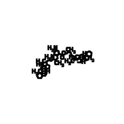 CC(CCC[C@@H](C)[C@H]1CC[C@H]2[C@@H]3CCC4CCCC[C@]4(C)[C@H]3CC[C@]12C)COC(=O)c1cc(N)cc(N)c1CC(C)CCC[C@@H](C)[C@H]1CC[C@H]2[C@@H]3CCC4CCCC[C@]4(C)[C@H]3CC[C@]12C